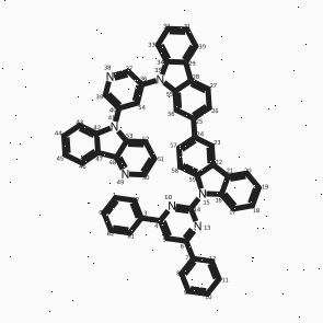 c1ccc(-c2cc(-c3ccccc3)nc(-n3c4ccccc4c4cc(-c5ccc6c7ccccc7n(-c7cncc(-n8c9ccccc9c9ncccc98)c7)c6c5)ccc43)n2)cc1